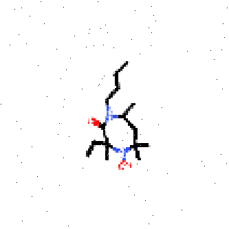 CCCCN1C(=O)C(C)(CC)N(O)C(C)(C)CC1C